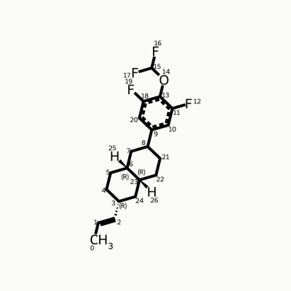 CC=C[C@@H]1CC[C@@H]2CC(c3cc(F)c(OC(F)F)c(F)c3)CC[C@@H]2C1